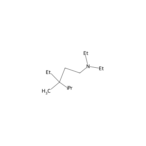 CCN(CC)CCC(C)(CC)C(C)C